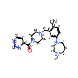 CN1CCCN(c2ccc(C#N)c(CN3CCN(C(=O)c4ccncn4)CC3)c2)CC1